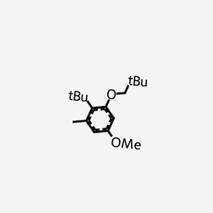 COc1cc(C)c(C(C)(C)C)c(OCC(C)(C)C)c1